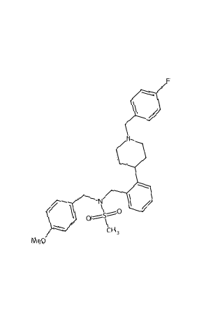 COc1ccc(CN(Cc2ccccc2C2CCN(Cc3ccc(F)cc3)CC2)S(C)(=O)=O)cc1